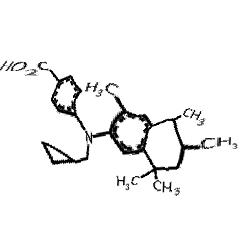 Cc1cc2c(cc1N(CC1CC1)c1ccc(C(=O)O)cc1)C(C)(C)CC(C)C2C